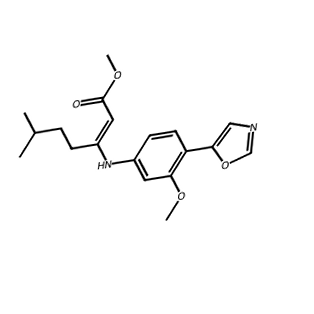 COC(=O)C=C(CCC(C)C)Nc1ccc(-c2cnco2)c(OC)c1